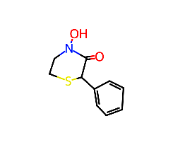 O=C1C(c2ccccc2)SCCN1O